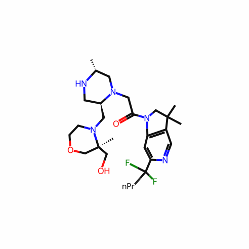 CCCC(F)(F)c1cc2c(cn1)C(C)(C)CN2C(=O)CN1C[C@@H](C)NC[C@@H]1CN1CCOC[C@]1(C)CO